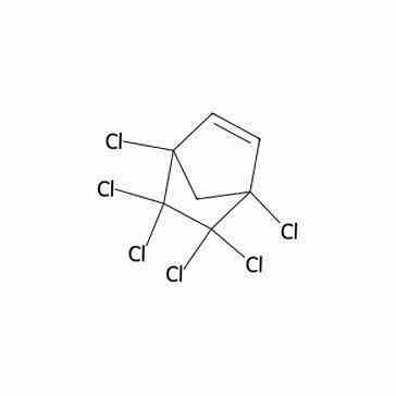 ClC12C=CC(Cl)(C1)C(Cl)(Cl)C2(Cl)Cl